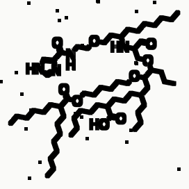 CCCCCCCCC(CCCCCC)C(=O)OCCCCCCOC(CC(CCCC)CCCC(CCCCCC)C(=O)O)C(CCC)OCC(C=O)NC(CCCCCCC)CCOCCNC(=O)c1c[nH]cn1